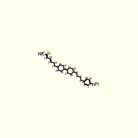 CCCc1ccc(CCCCC2CCC(C3CCC(CCC=CC=C(F)C#N)CC3)CC2)cc1